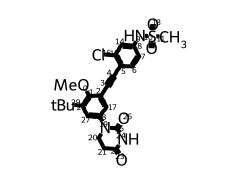 COc1c(C#Cc2ccc(NS(C)(=O)=O)cc2Cl)cc(N2CCC(=O)NC2=O)cc1C(C)(C)C